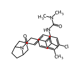 Cc1cc(C=CC(=O)N2C3CCC2CN(Cc2ccc(F)cc2)C3)c(NC(=O)N(C)C)cc1Cl